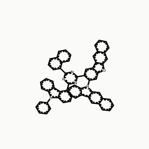 c1ccc(-n2c3ccccc3c3c(-c4nc(-c5cc6c(cc5-n5c7ccccc7c7cc8ccccc8cc75)oc5cc7ccccc7cc56)nc(-c5cccc6ccccc56)n4)cccc32)cc1